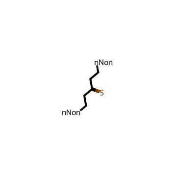 CCCCCCCCCCCC(=S)CCCCCCCCCCC